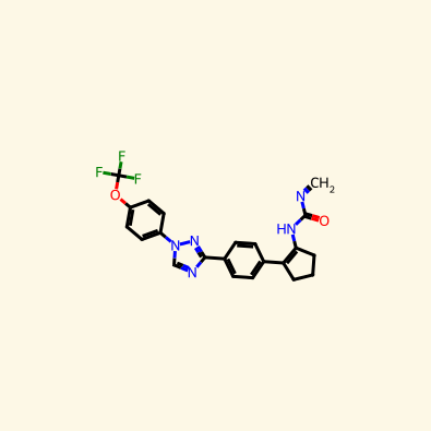 C=NC(=O)NC1=C(c2ccc(-c3ncn(-c4ccc(OC(F)(F)F)cc4)n3)cc2)CCC1